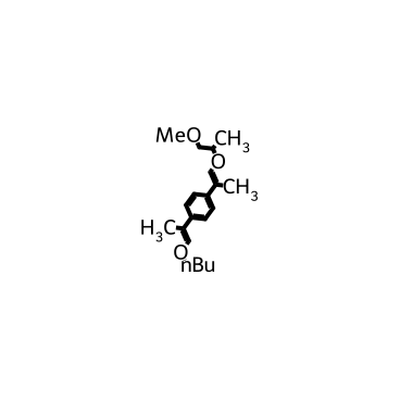 CCCCOC=C(C)c1ccc(C(C)=COC(C)COC)cc1